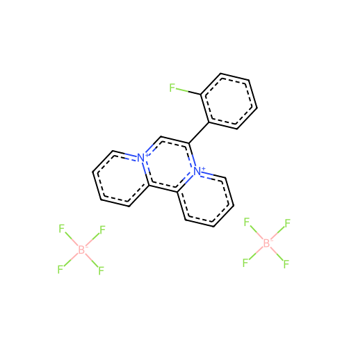 F[B-](F)(F)F.F[B-](F)(F)F.Fc1ccccc1-c1c[n+]2ccccc2c2cccc[n+]12